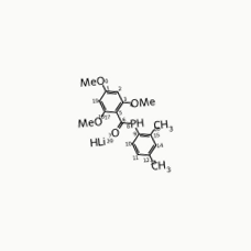 COc1cc(OC)c(C(=O)Pc2ccc(C)cc2C)c(OC)c1.[LiH]